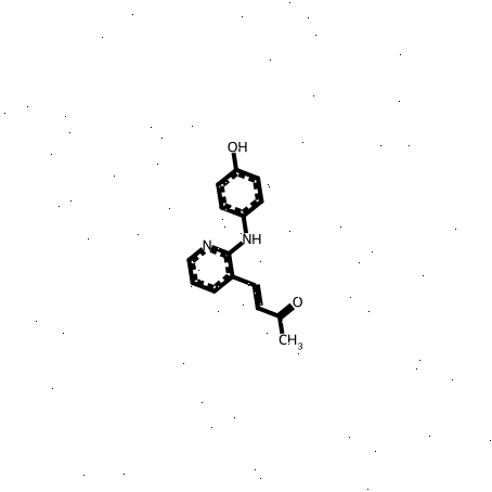 CC(=O)/C=C/c1cccnc1Nc1ccc(O)cc1